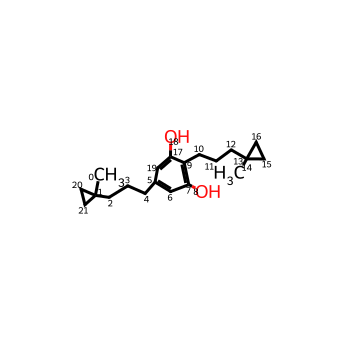 CC1(CCCc2cc(O)c(CCCC3(C)CC3)c(O)c2)CC1